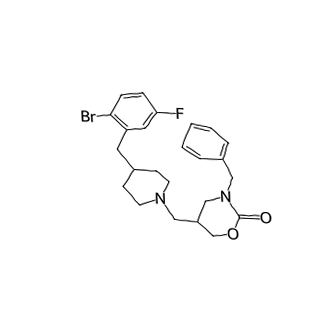 O=C1OCC(CN2CCC(Cc3cc(F)ccc3Br)CC2)CN1Cc1ccccc1